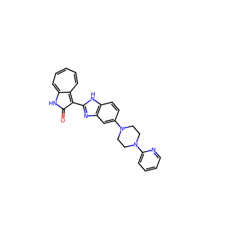 O=c1[nH]c2cccccc-2c1-c1nc2cc(N3CCN(c4ccccn4)CC3)ccc2[nH]1